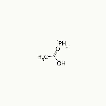 CC(=O)O.[3PH3]